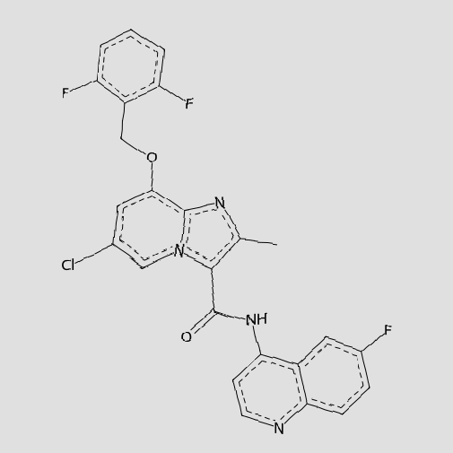 Cc1nc2c(OCc3c(F)cccc3F)cc(Cl)cn2c1C(=O)Nc1ccnc2ccc(F)cc12